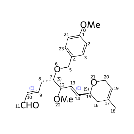 COc1ccc(CO[C@@H](C/C=C/C=O)C(/C=C/[C@@H]2CC(C)=CCO2)OC)cc1